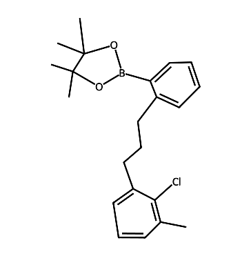 Cc1cccc(CCCc2ccccc2B2OC(C)(C)C(C)(C)O2)c1Cl